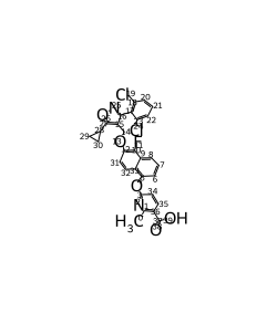 Cc1nc(Oc2cccc3c(F)c(OCc4c(-c5c(Cl)cccc5Cl)noc4C4CC4)ccc23)ccc1C(=O)O